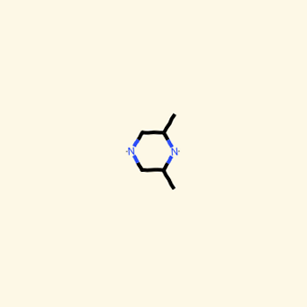 CC1C[N]CC(C)[N]1